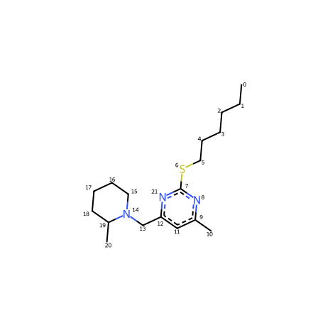 CCCCCCSc1nc(C)cc(CN2CCCCC2C)n1